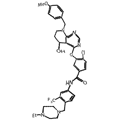 CCN1CCN(Cc2ccc(NC(=O)c3ccc(Cl)c(Oc4ncnc5c4C(O)CCN5Cc4ccc(OC)cc4)c3)cc2C(F)(F)F)CC1